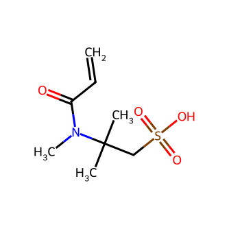 C=CC(=O)N(C)C(C)(C)CS(=O)(=O)O